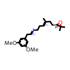 COc1cc(C/C=I/CC/C=C(\C)CC[C@H]2OC2(C)C)cc(OC)c1